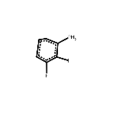 Fc1cccc(P)c1I